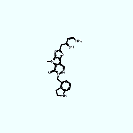 Cn1c2nc(CC(=N)/C=C\N)sc2c2cnn(Cc3cccc4c3CCN4)c(=O)c21